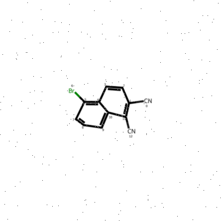 N#Cc1ccc2c(Br)cccc2c1C#N